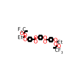 C=C(C(=O)OC(CC)Oc1ccc(C(=O)Oc2ccc(OC(=O)c3ccc(OC(CC)OC(=O)C(=C)C(F)(F)F)cc3)cc2)cc1)C(F)(F)F